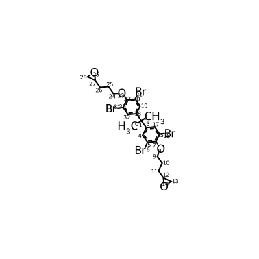 CC(C)(c1cc(Br)c(OCCCC2CO2)c(Br)c1)c1cc(Br)c(OCCCC2CO2)c(Br)c1